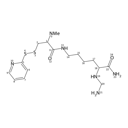 CNC(CSSc1ccccn1)C(=O)NCCCCC(NCN)C(N)=O